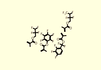 C=C(C)C(=O)OC(F)(F)c1ccc(F)c(F)c1F.C=C(C)C(=O)OCC(F)(F)C(F)C(F)(F)F.C=C(C)C(=O)OCC(F)(F)C(F)F.C=C(C)C(=O)Oc1c(F)c(F)c(F)c(F)c1F